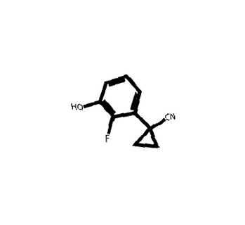 N#CC1(c2cccc(O)c2F)CC1